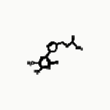 CC(=O)OCC1C=CC(n2cc(C)c(C)nc2=O)C1